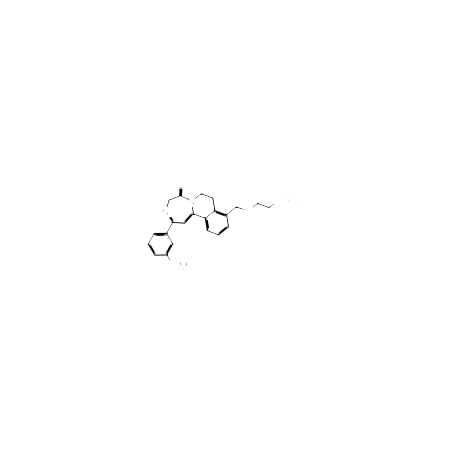 COCCOCc1cccc2c1CCN1C(=O)CN=C(c3cccc(OC)c3)C=C21